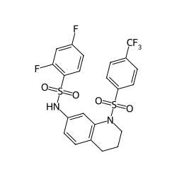 O=S(=O)(Nc1ccc2c(c1)N(S(=O)(=O)c1ccc(C(F)(F)F)cc1)CCC2)c1ccc(F)cc1F